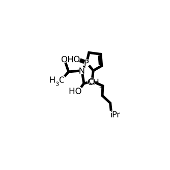 CC(C)CCCOC1C=CCP1(=O)N(C(C)O)C(C)O